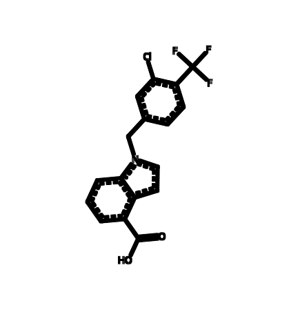 O=C(O)c1cccc2c1ccn2Cc1ccc(C(F)(F)F)c(Cl)c1